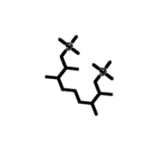 CC(CCCC(C)C(C)C[Si](C)(C)C)C(C)C[Si](C)(C)C